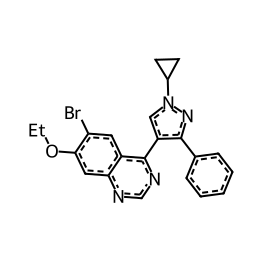 CCOc1cc2ncnc(-c3cn(C4CC4)nc3-c3ccccc3)c2cc1Br